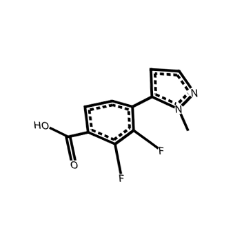 Cn1nccc1-c1ccc(C(=O)O)c(F)c1F